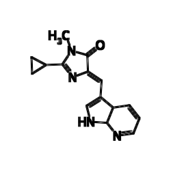 CN1C(=O)/C(=C/C2=CNC3N=CC=CC23)N=C1C1CC1